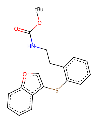 CC(C)(C)OC(=O)NCCc1ccccc1Sc1coc2ccccc12